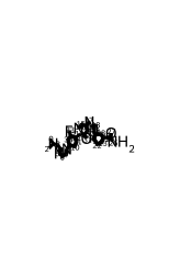 CN(C)Cc1nccn1-c1ccc(C2N=Cc3ncn(-c4cccc(C(N)=O)c4)c3C2=O)c(F)c1